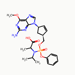 COc1nc(N)nc2c1ncn2[C@H]1C=C[C@@H](COP(=O)(Oc2ccccc2)N(C(C)C)C(C)C(=O)O)C1